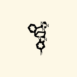 Fc1ccc2c(c1)nc1n2C2CC1n1ncnc1-c1ccccc12